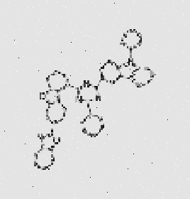 c1ccc(-c2nc(-c3ccc4c(c3)c3ccccc3n4-c3ccccc3)nc(-c3cccc4oc5cc(-c6nc7ccccc7o6)ccc5c34)n2)cc1